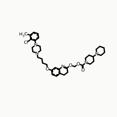 Cc1cccc(N2CCN(CCCCOc3ccc4c(c3)N=C(OCOC(=O)N3CCC(N5CCCCC5)CC3)CC4)CC2)c1Cl